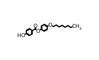 CCCCCCCCOc1ccc(OC(=O)c2ccc(O)cc2)cc1